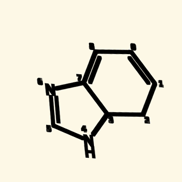 C1=CCC2NC=NC2=C1